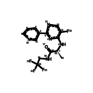 C[C@@H](Nc1nc(-c2cccnc2)ncc1F)C(=O)NCC(F)(F)F